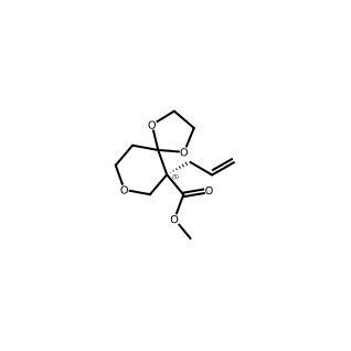 C=CC[C@]1(C(=O)OC)COCCC12OCCO2